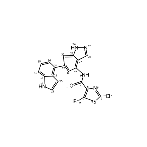 CC(C)c1sc(Cl)nc1C(=O)Nc1cc(-c2cccc3[nH]ccc23)cc2[nH]ncc12